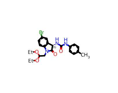 CCOC(CN1C(=O)[C@@H](NC(=O)Nc2ccc(C)cc2)c2cc(Br)ccc21)OCC